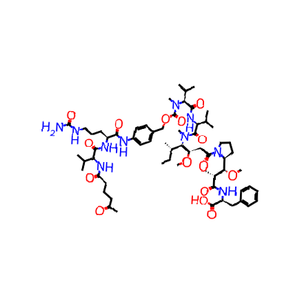 CC[C@H](C)[C@@H]([C@@H](CC(=O)N1CCC[C@H]1[C@H](OC)[C@@H](C)C(=O)N[C@@H](Cc1ccccc1)C(=O)O)OC)N(C)C(=O)[C@@H](NC(=O)[C@H](C(C)C)N(C)C(=O)OCc1ccc(NC(=O)[C@H](CCCNC(N)=O)NC(=O)[C@@H](NC(=O)CCCC(C)=O)C(C)C)cc1)C(C)C